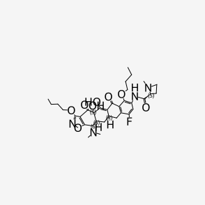 CCCCOc1noc2c1C(=O)[C@@]1(O)C(O)=C3C(=O)c4c(c(F)cc(NC(=O)[C@@H]5CCN5C)c4OCCCC)C[C@H]3C[C@H]1[C@@H]2N(C)C